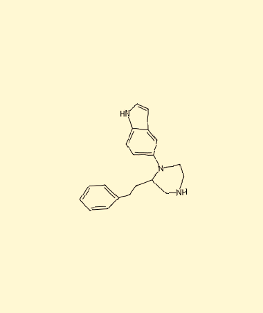 c1ccc(CCC2CNCCN2c2ccc3[nH]ccc3c2)cc1